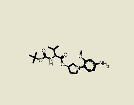 COc1cc(N)ccc1N1CC[C@@H](OC(=O)[C@@H](NC(=O)OC(C)(C)C)C(C)C)C1